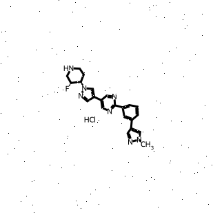 Cl.Cn1cc(-c2cccc(-c3ncc(-c4cnn([C@@H]5CCNC[C@H]5F)c4)cn3)c2)cn1